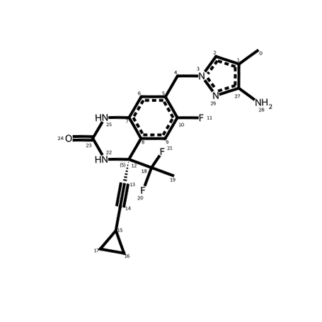 Cc1cn(Cc2cc3c(cc2F)[C@@](C#CC2CC2)(C(C)(F)F)NC(=O)N3)nc1N